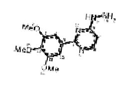 COc1cc(-c2nccc(NN)n2)cc(OC)c1OC